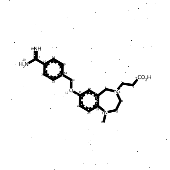 CN1CCN(CCC(=O)O)Cc2cc(OCc3ccc(C(=N)N)cc3)ccc21